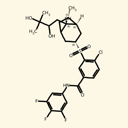 C[C@H]1CC2C[C@@H](S(=O)(=O)c3cc(C(=O)Nc4cc(F)c(F)c(F)c4)ccc3Cl)C[C@H]1[C@@]2(O)CC(O)C(C)(C)O